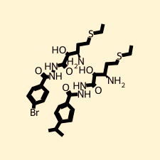 CCSCC[C@@H](N)C(O)C(=O)NNC(=O)c1ccc(Br)cc1.CCSCC[C@@H](N)C(O)C(=O)NNC(=O)c1ccc(C(C)C)cc1